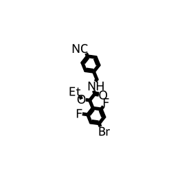 CCOC(C(=O)NCc1ccc(C#N)cc1)c1c(F)cc(Br)cc1F